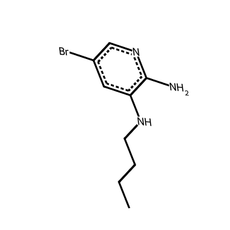 CCCCNc1cc(Br)cnc1N